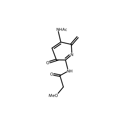 C=C1N=C(NC(=O)COC)C(=O)C=C1NC(C)=O